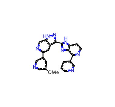 COc1cncc(-c2cc3c(-c4nc5c(-c6cccnc6)nccc5[nH]4)n[nH]c3cn2)c1